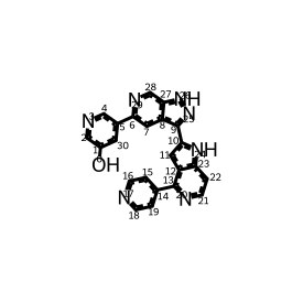 Oc1cncc(-c2cc3c(-c4cc5c(-c6ccncc6)nccc5[nH]4)n[nH]c3cn2)c1